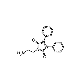 NCCn1c(=O)n(-c2ccccc2)n(-c2ccccc2)c1=O